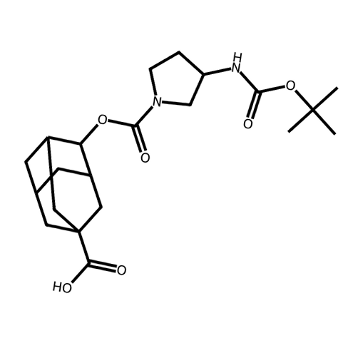 CC(C)(C)OC(=O)NC1CCN(C(=O)OC2C3CC4CC2CC(C(=O)O)(C4)C3)C1